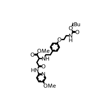 COC(=O)C(CC(=O)Nc1ccc(OC)cn1)NCCc1ccc(OCCNC(=O)OC(C)(C)C)cc1